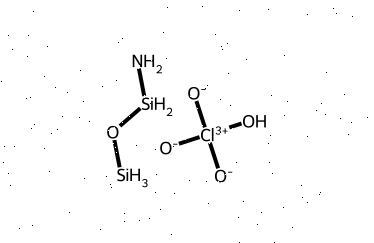 N[SiH2]O[SiH3].[O-][Cl+3]([O-])([O-])O